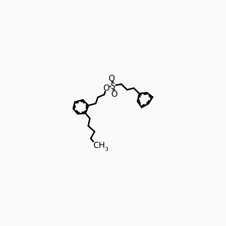 CCCCCc1ccccc1CCCOS(=O)(=O)CCCc1ccccc1